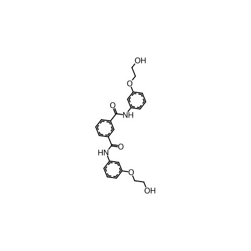 O=C(Nc1cccc(OCCO)c1)c1cccc(C(=O)Nc2cccc(OCCO)c2)c1